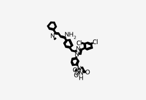 C=N/C(=C\C=C(/N)c1ccc(Cc2nc(-c3ccc(Cl)cc3Cl)cn2-c2cccc(N3CC(=O)NS3(=O)=O)c2)cc1)C1=CCCCC1